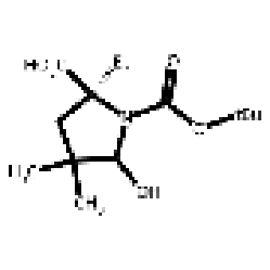 CC[C@@]1(C(=O)O)CC(C)(C)C(O)N1C(=O)OC(C)(C)C